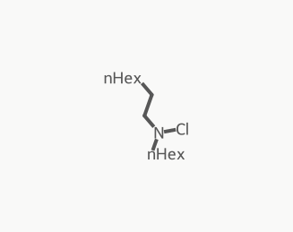 CCCCCCCCN(Cl)CCCCCC